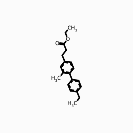 CCOC(=O)CCc1ccc(-c2ccc(CC)cc2)c(C)c1